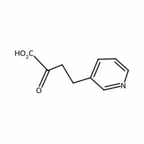 O=C(O)C(=O)CCc1cccnc1